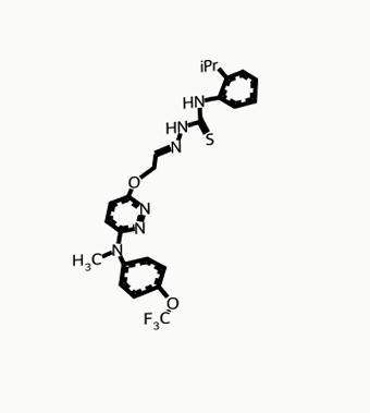 CC(C)c1ccccc1NC(=S)N/N=C/COc1ccc(N(C)c2ccc(OC(F)(F)F)cc2)nn1